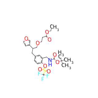 CCOC(=O)CCOCC(Cc1ccc(OS(=O)(=O)C(F)(F)F)c(CNC(=O)OC(C)(C)C)c1)c1ccoc1